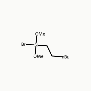 CCCCCC[Si](Br)(OC)OC